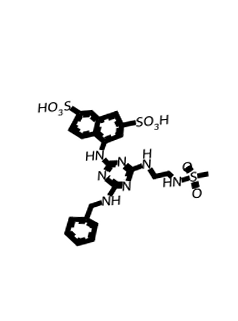 CS(=O)(=O)NCCNc1nc(NCc2ccccc2)nc(Nc2cc(S(=O)(=O)O)cc3cc(S(=O)(=O)O)ccc23)n1